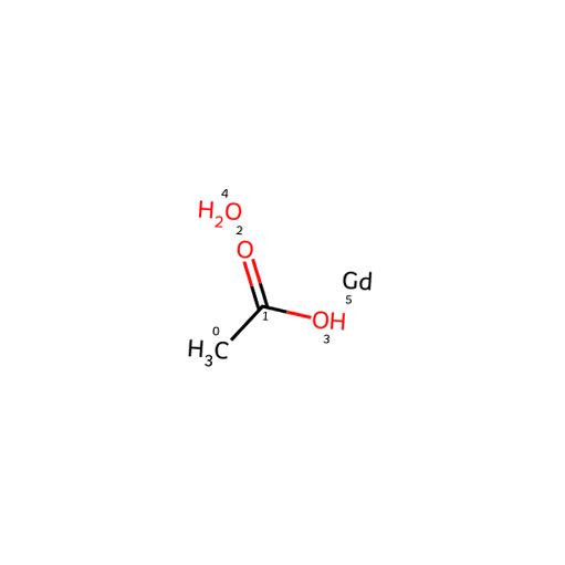 CC(=O)O.O.[Gd]